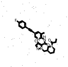 CCC(=O)N1CCCC(Cn2ncc(Cl)c2C(=O)Nc2ncc(C#Cc3ccc(F)cc3)cc2C)C1